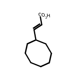 O=C(O)/C=C/C1CCCCCCC1